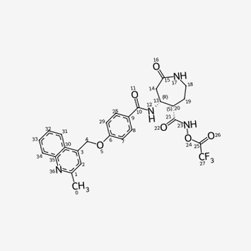 Cc1cc(COc2ccc(C(=O)N[C@@H]3CC(=O)NCC[C@@H]3C(=O)NOC(=O)C(F)(F)F)cc2)c2ccccc2n1